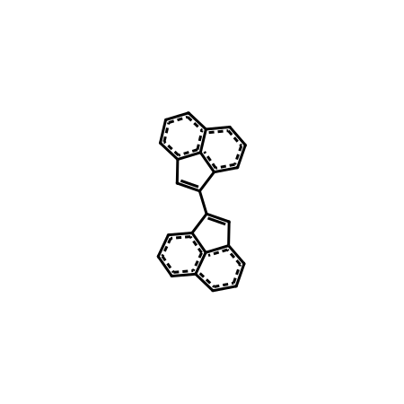 C1=C(C2=Cc3cccc4cccc2c34)c2cccc3cccc1c23